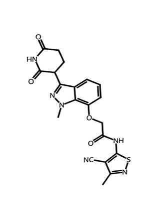 Cc1nsc(NC(=O)COc2cccc3c(C4CCC(=O)NC4=O)nn(C)c23)c1C#N